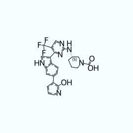 O=C(O)N1CCC[C@H](Nc2ncc(C(F)(F)F)c(-c3c[nH]c4cc(-c5cccnc5O)ccc34)n2)C1